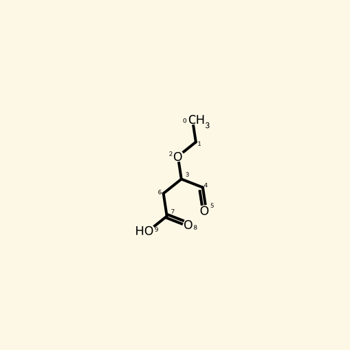 CCOC(C=O)CC(=O)O